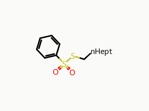 CCCCCCCCSS(=O)(=O)c1ccccc1